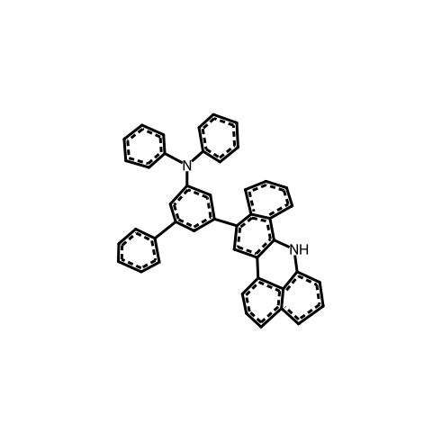 c1ccc(-c2cc(-c3cc4c(c5ccccc35)Nc3cccc5cccc-4c35)cc(N(c3ccccc3)c3ccccc3)c2)cc1